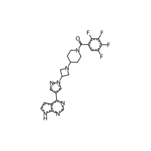 O=C(c1cc(F)c(F)c(F)c1F)N1CCC(N2CC(n3cc(-c4ncnc5[nH]ccc45)cn3)C2)CC1